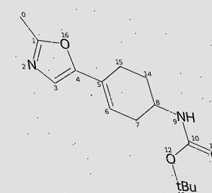 Cc1ncc(C2=CCC(NC(=O)OC(C)(C)C)CC2)o1